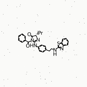 CC(C)[C@@H]1N=C(Nc2ccc(CCNc3nc4ccccc4s3)cc2)N(C(=O)c2ccccc2)C1=O